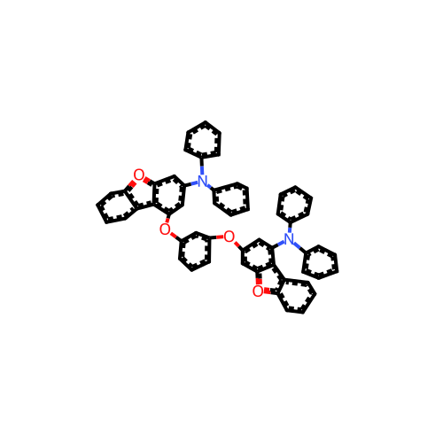 c1ccc(N(c2ccccc2)c2cc(Oc3cccc(Oc4cc(N(c5ccccc5)c5ccccc5)c5c(c4)oc4ccccc45)c3)c3c(c2)oc2ccccc23)cc1